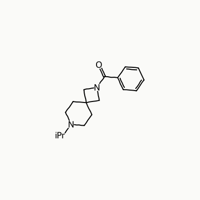 CC(C)N1CCC2(CC1)CN(C(=O)c1ccccc1)C2